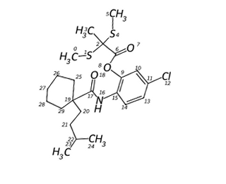 CSC(C)(SC)C(=O)Oc1cc(Cl)ccc1NC(=O)C1(CCC(C)C)CCCCC1